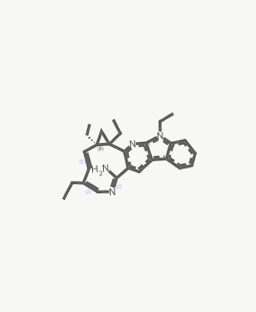 CCC1=C/N=C(\N)c2cc3c4ccccc4n(CC)c3nc2C2(CC)C[C@]2(CC)\C=C\1